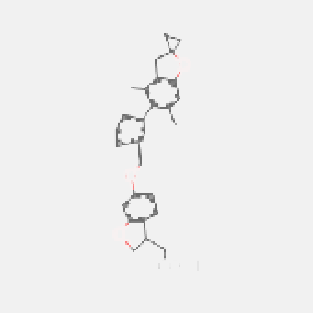 Cc1cc2c(c(C)c1-c1cccc(COc3ccc4c(c3)OCC4CC(=O)O)c1)CC1(CC1)O2